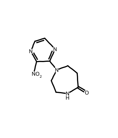 O=C1CCN(c2nccnc2[N+](=O)[O-])CCN1